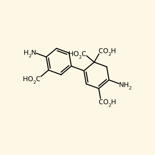 NC1=C(C(=O)O)C=C(c2ccc(N)c(C(=O)O)c2)C(C(=O)O)(C(=O)O)C1